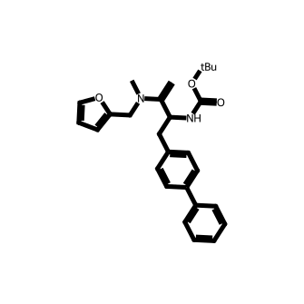 C=C(C(Cc1ccc(-c2ccccc2)cc1)NC(=O)OC(C)(C)C)N(C)Cc1ccco1